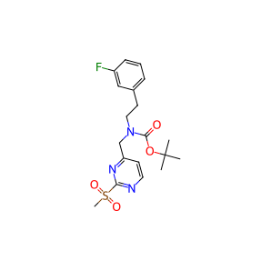 CC(C)(C)OC(=O)N(CCc1cccc(F)c1)Cc1ccnc(S(C)(=O)=O)n1